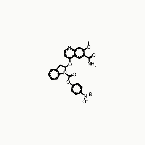 COc1cc2nccc(OC3Cc4ccccc4N3C(=O)Oc3ccc([N+](=O)[O-])cc3)c2cc1C(N)=O